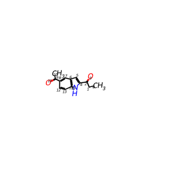 CCC(=O)c1cc2cc(C(C)=O)ccc2[nH]1